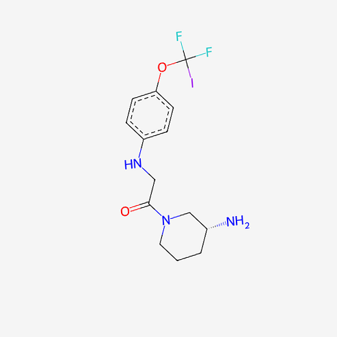 N[C@@H]1CCCN(C(=O)CNc2ccc(OC(F)(F)I)cc2)C1